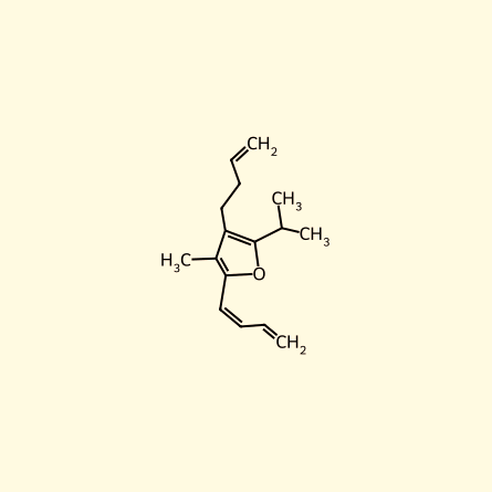 C=C/C=C\c1oc(C(C)C)c(CCC=C)c1C